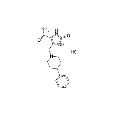 Cl.NC(=O)c1[nH]c(=O)[nH]c1CN1CCC(c2ccccc2)CC1